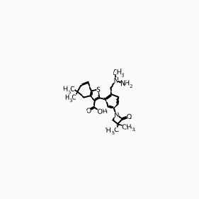 CN(N)Cc1ccc(N2CC(C)(C)C2=O)cc1-c1sc2c(c1C(=O)O)CC(C)(C)CC2